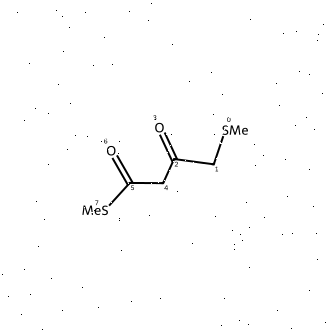 CSCC(=O)CC(=O)SC